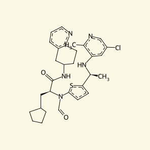 Cc1ncc(Cl)cc1N[C@@H](C)c1ccc(N(C=O)[C@@H](CC2CCCC2)C(=O)NC2CCc3ncccc3C2)s1